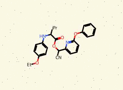 CCOc1ccc(NC(C(=O)OC(C#N)c2cccc(Oc3ccccc3)n2)C(C)C)cc1